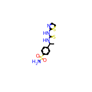 CC(NC(=S)Nc1nccs1)c1ccc(S(N)(=O)=O)cc1